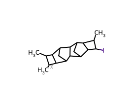 CC1C(I)C2C3CC(C12)C1C2CC(C31)C1C2C(C)[C@@H]1C